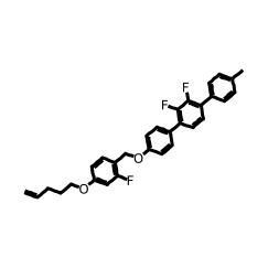 C=CCCCOc1ccc(COc2ccc(-c3ccc(-c4ccc(C)cc4)c(F)c3F)cc2)c(F)c1